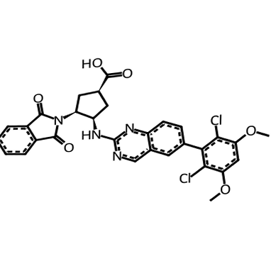 COc1cc(OC)c(Cl)c(-c2ccc3nc(N[C@@H]4C[C@H](C(=O)O)C[C@@H]4N4C(=O)c5ccccc5C4=O)ncc3c2)c1Cl